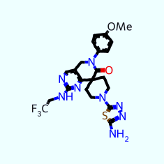 COc1ccc(N2Cc3cnc(NCC(F)(F)F)nc3C3(CCN(c4nnc(N)s4)CC3)C2=O)cc1